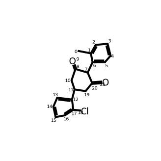 Cc1ccccc1C1C(=O)CC(c2ccccc2Cl)CC1=O